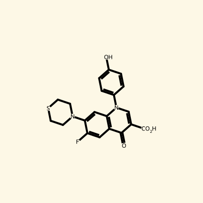 O=C(O)c1cn(-c2ccc(O)cc2)c2cc(N3CCSCC3)c(F)cc2c1=O